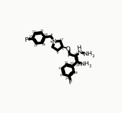 NN/C(CO[C@H]1CCN(Cc2ccc(F)cc2)C1)=C(\N)c1cccc(F)c1